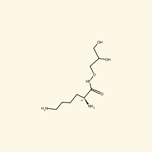 NCCCC[C@H](N)C(=O)POCC(O)CO